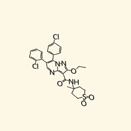 CCOc1nn2c(-c3ccc(Cl)cc3)c(-c3ccccc3Cl)cnc2c1C(=O)NC1(C)CCS(=O)(=O)CC1